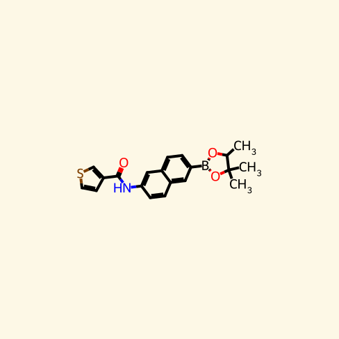 CC1OB(c2ccc3cc(NC(=O)c4ccsc4)ccc3c2)OC1(C)C